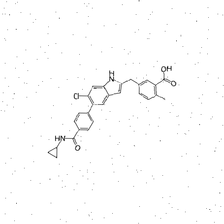 Cc1ccc(Cc2cc3cc(-c4ccc(C(=O)NC5CC5)cc4)c(Cl)cc3[nH]2)cc1C(=O)O